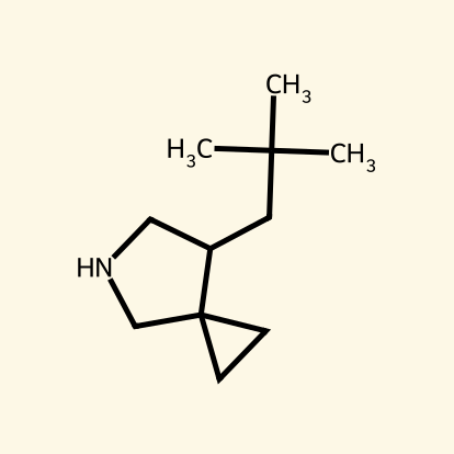 CC(C)(C)CC1CNCC12CC2